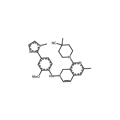 COc1cc(-c2nccn2C)ccc1NN1C=Cc2cc(C)nc(N3CCC(C)(C#N)CC3)c2C1